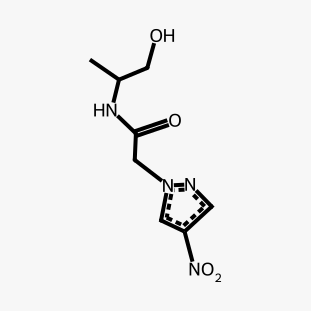 CC(CO)NC(=O)Cn1cc([N+](=O)[O-])cn1